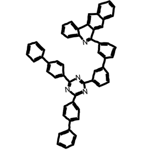 c1ccc(-c2ccc(-c3nc(-c4ccc(-c5ccccc5)cc4)nc(-c4cccc(-c5cccc(-c6nc7ccccc7c7cc8ccccc8cc67)c5)c4)n3)cc2)cc1